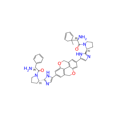 CC1([C@@H](N)C(=O)N2CCC[C@H]2c2ncc(-c3cc4c5c(c3)OCc3cc(-c6cnc([C@@H]7CCCN7C(=O)[C@H](N)c7ccccc7)[nH]6)cc(c3-5)OC4)[nH]2)C=CC=CC1